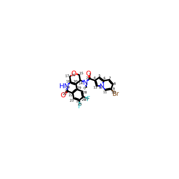 CN(C(=O)c1cc2ccc(Br)cn2c1)C1COCc2[nH]c(=O)c3cc(F)c(F)cc3c21